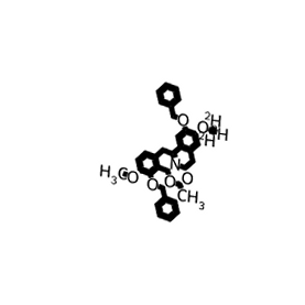 [2H]C([2H])([2H])Oc1cc2c(cc1OCc1ccccc1)C(Cc1ccc(OC)c(OCc3ccccc3)c1COC(C)=O)=NCC2